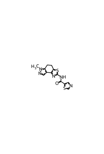 Cn1ncc2c1CCc1sc(NC(=O)c3cncs3)nc1-2